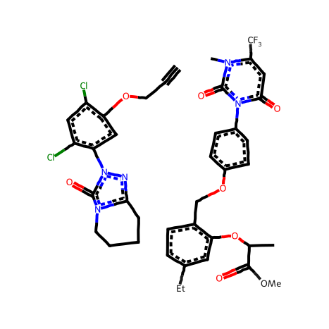 C#CCOc1cc(-n2nc3n(c2=O)CCCC3)c(Cl)cc1Cl.CCc1ccc(COc2ccc(-n3c(=O)cc(C(F)(F)F)n(C)c3=O)cc2)c(OC(C)C(=O)OC)c1